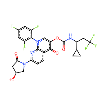 O=C(NC(CC(F)(F)F)C1CC1)Oc1cn(-c2c(F)cc(F)cc2F)c2nc(N3C[C@@H](O)CC3=O)ccc2c1=O